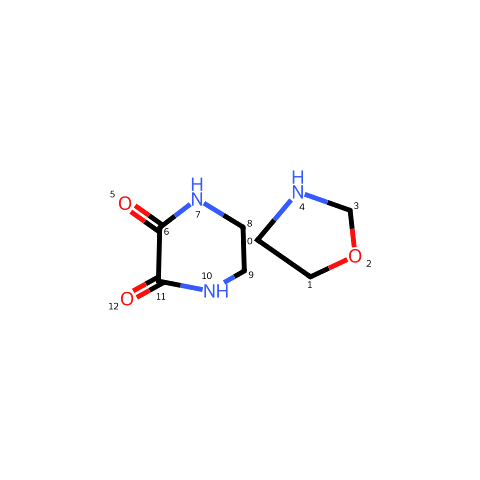 C1COCN1.O=C1NCCNC1=O